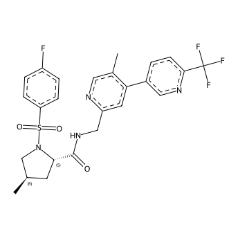 Cc1cnc(CNC(=O)[C@@H]2C[C@@H](C)CN2S(=O)(=O)c2ccc(F)cc2)cc1-c1ccc(C(F)(F)F)nc1